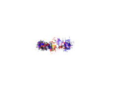 C/C(N)=C(/C)C(=O)SCOCCCOP(N(C(C)C)C(C)C)N(C(C)C)C(C)CC1CCC(C)(C)N(CCC(=O)SCOCCCOP(N(C(C)C)C(C)C)N(C(C)C)C(C)C)C1(C)C